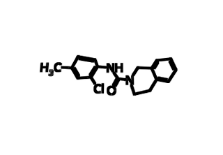 Cc1ccc(NC(=O)N2CCc3ccccc3C2)c(Cl)c1